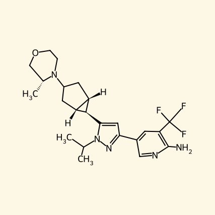 CC(C)n1nc(-c2cnc(N)c(C(F)(F)F)c2)cc1[C@H]1[C@@H]2CC(N3CCOC[C@H]3C)C[C@@H]21